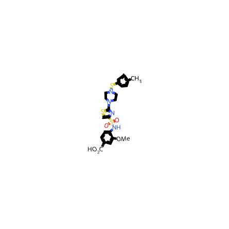 COc1cc(C(=O)O)ccc1NS(=O)(=O)c1csc(N2CCN(Sc3ccc(C)cc3)CC2)n1